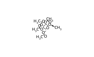 CC#CO[C@@H]1O[C@H](COC(C)=O)[C@@H](OC(C)=O)[C@H](OC(C)=O)[C@@H]1OC(C)=O